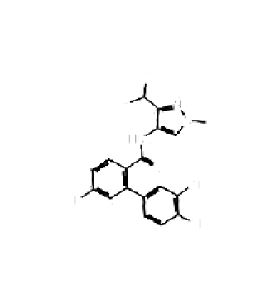 Cn1cc(NC(=O)c2ccc(F)cc2-c2ccc(Cl)c(Cl)c2)c(C(F)F)n1